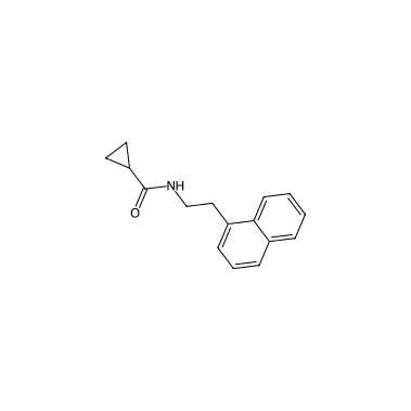 O=C(NCCc1cccc2ccccc12)C1CC1